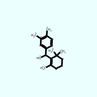 CC1=C(C(O)c2ccc(C)c(C)c2)C(C)(C)CCC1